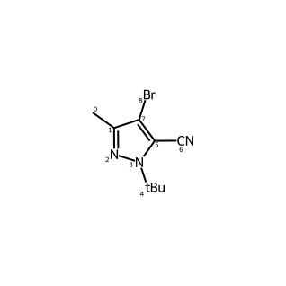 Cc1nn(C(C)(C)C)c(C#N)c1Br